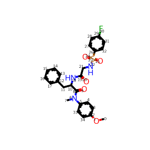 COc1ccc(N(C)C(=O)C(Cc2ccccc2)NC(=O)CNS(=O)(=O)c2ccc(F)cc2)cc1